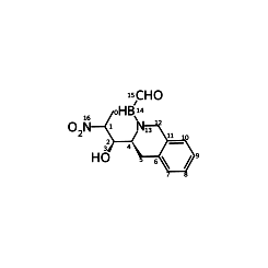 CC([C@H](O)[C@@H]1Cc2ccccc2CN1BC=O)[N+](=O)[O-]